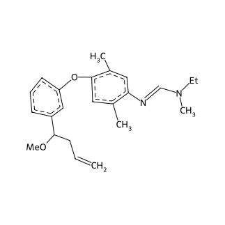 C=CCC(OC)c1cccc(Oc2cc(C)c(/N=C/N(C)CC)cc2C)c1